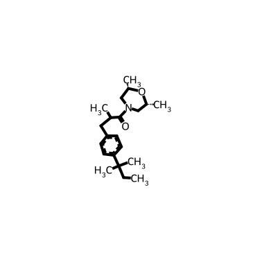 CCC(C)(C)c1ccc(CC(C)C(=O)N2C[C@@H](C)O[C@@H](C)C2)cc1